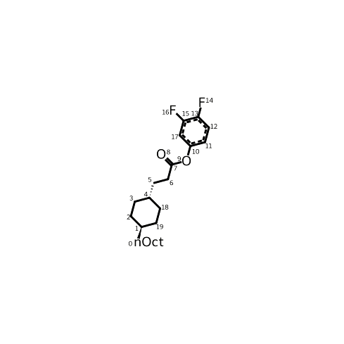 CCCCCCCC[C@H]1CC[C@H](CCC(=O)Oc2ccc(F)c(F)c2)CC1